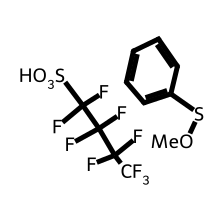 COSc1ccccc1.O=S(=O)(O)C(F)(F)C(F)(F)C(F)(F)C(F)(F)F